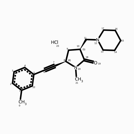 Cc1cccc(C#C[C@H]2C[C@@H](CN3CCCCC3)C(=O)N2C)c1.Cl